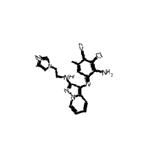 CC1=C/C(=N\c2c(NCCn3ccnc3)nn3ccccc23)C(N)=C(Cl)C1=O